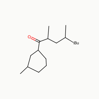 CCC(C)C(C)CC(C)C(=O)C1CCCC(C)C1